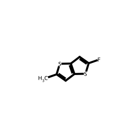 Cc1cc2sc(F)cc2s1